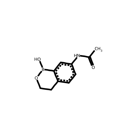 CC(=O)Nc1ccc2c(c1)B(O)OCC2